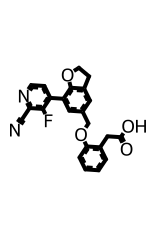 N#Cc1nccc(-c2cc(COc3ccccc3CC(=O)O)cc3c2OCC3)c1F